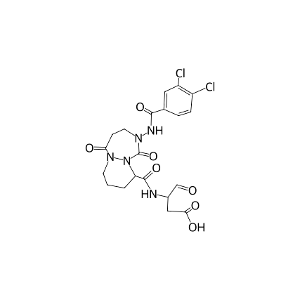 O=CC(CC(=O)O)NC(=O)C1CCCN2C(=O)CCN(NC(=O)c3ccc(Cl)c(Cl)c3)C(=O)N12